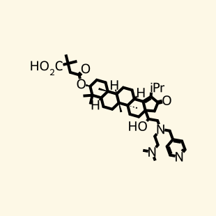 CC(C)C1=C2[C@H]3CC[C@@H]4[C@@]5(C)CC[C@H](OC(=O)CC(C)(C)C(=O)O)C(C)(C)[C@@H]5CC[C@@]4(C)[C@]3(C)CCC2(C(O)CN(CCN(C)C)Cc2ccncc2)CC1=O